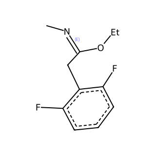 CCO/C(Cc1c(F)cccc1F)=N/C